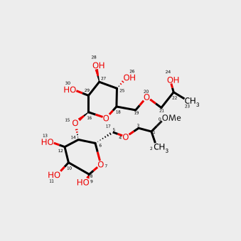 COC(C)COC[C@@H]1O[C@@H](O)C(O)C(O)[C@@H]1O[C@@H]1OC(COCC(C)O)[C@@H](O)[C@H](O)C1O